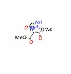 COC(=O)C(N)C(=O)OC.N=C=O